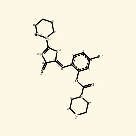 O=C(Oc1cc(F)ccc1/C=C1\SC(N2CCCCN2)=NC1=S)N1CCOCC1